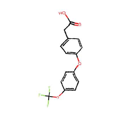 O=C(O)Cc1ccc(Oc2ccc(OC(F)(F)F)cc2)cc1